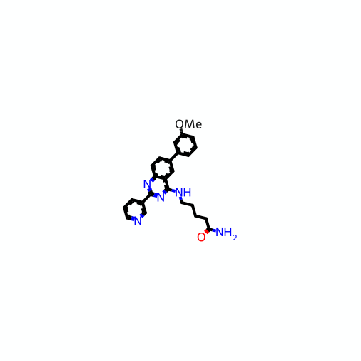 COc1cccc(-c2ccc3nc(-c4cccnc4)nc(NCCCCC(N)=O)c3c2)c1